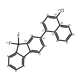 FC1(F)c2ccccc2-c2ccc(-c3ccc(Cl)c4ccccc34)cc21